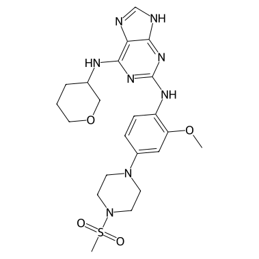 COc1cc(N2CCN(S(C)(=O)=O)CC2)ccc1Nc1nc(NC2CCCOC2)c2nc[nH]c2n1